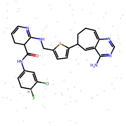 Nc1ncnc2c1=CC(c1ccc(CNC3=NC=CCC3C(=O)NC3=CC[C@H](F)C(Cl)=C3)s1)CCC=2